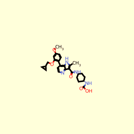 COc1ccc(-c2ccnc3c(C(=O)N[C@H]4CC[C@@H](NC(=O)O)CC4)c(C)[nH]c23)c(OCC2CC2)c1